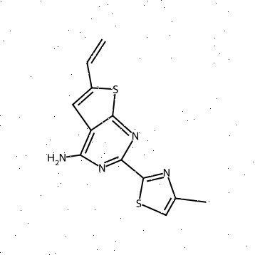 C=Cc1cc2c(N)nc(-c3nc(C)cs3)nc2s1